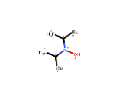 CCC(C)C(C)N(O)C(C)C(C)CC